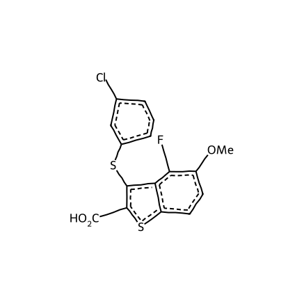 COc1ccc2sc(C(=O)O)c(Sc3cccc(Cl)c3)c2c1F